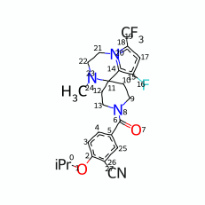 CC(C)Oc1ccc(C(=O)N2CCC3(CC2)c2c(F)cc(C(F)(F)F)n2CCN3C)cc1C#N